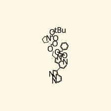 CC(C)(C)OC(=O)N1CCC[C@H]1C(=O)OCCc1cc2c(-c3cnn4ncccc34)ccnc2n1S(=O)(=O)c1ccccc1